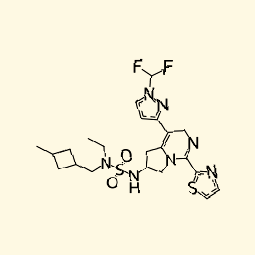 CCN(CC1CC(C)C1)S(=O)(=O)NC1CC2=C(c3ccn(C(F)F)n3)CN=C(c3nccs3)N2C1